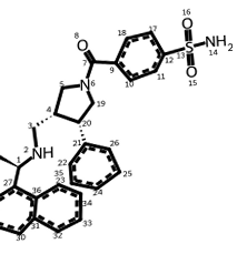 C[C@@H](NC[C@@H]1CN(C(=O)c2ccc(S(N)(=O)=O)cc2)C[C@@H]1c1ccccc1)c1cccc2ccccc12